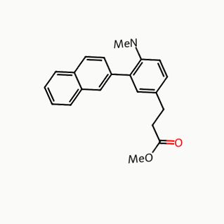 CNc1ccc(CCC(=O)OC)cc1-c1ccc2ccccc2c1